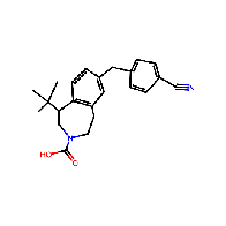 CC(C)(C)C1CN(C(=O)O)CCc2cc(Cc3ccc(C#N)cc3)ccc21